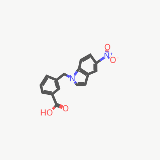 O=C(O)c1cccc(Cn2ccc3cc([N+](=O)[O-])ccc32)c1